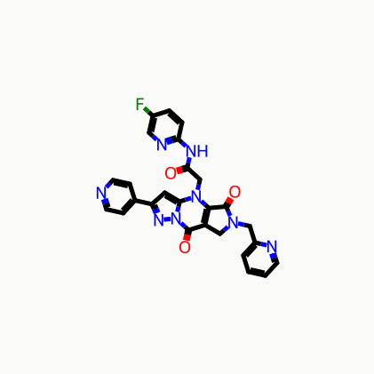 O=C(Cn1c2c(c(=O)n3nc(-c4ccncc4)cc13)CN(Cc1ccccn1)C2=O)Nc1ccc(F)cn1